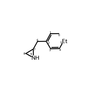 C/C=C(\C=C/CC)CC1CN1